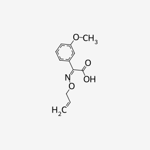 C=CCO/N=C(\C(=O)O)c1cccc(OC)c1